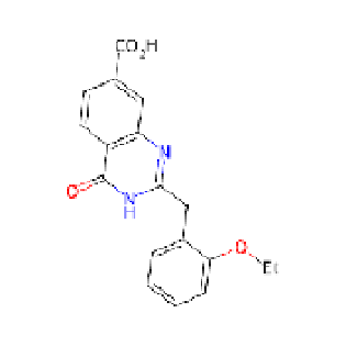 CCOc1ccccc1Cc1nc2cc(C(=O)O)ccc2c(=O)[nH]1